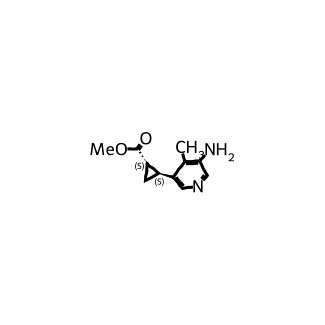 COC(=O)[C@H]1C[C@@H]1c1cncc(N)c1C